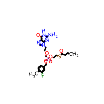 C=CCC(=O)SCCOP(=O)(COCCn1cnc2c(=O)[nH]c(N)nc21)OCc1ccc(C)c(F)c1